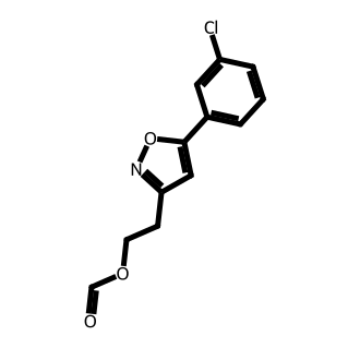 O=COCCc1cc(-c2cccc(Cl)c2)on1